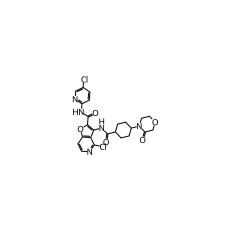 O=C(Nc1ccc(Cl)cn1)c1oc2ccnc(Cl)c2c1NC(=O)C1CCC(N2CCOCC2=O)CC1